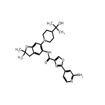 CC1(C)Cc2cc(NC(=O)c3coc(-c4ccnc(N)c4)n3)c(N3CCC(C(C)(C)O)CC3)cc2O1